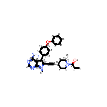 C=CC(=O)N1CC[C@@H](C#Cc2c(-c3ccc(Oc4ccccc4)cc3)c3c(N)ncnc3n2C)C[C@@H]1C